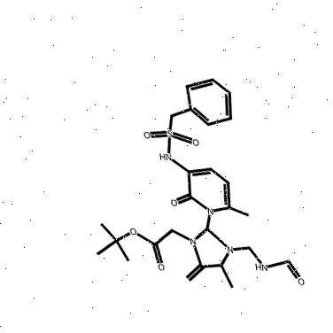 C=C1C(C)N(CNC=O)C(n2c(C)ccc(NS(=O)(=O)Cc3ccccc3)c2=O)N1CC(=O)OC(C)(C)C